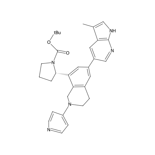 Cc1c[nH]c2ncc(-c3cc4c(c([C@@H]5CCCN5C(=O)OC(C)(C)C)c3)CN(c3ccncc3)CC4)cc12